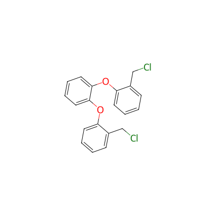 ClCc1ccccc1Oc1ccccc1Oc1ccccc1CCl